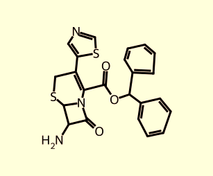 NC1C(=O)N2C(C(=O)OC(c3ccccc3)c3ccccc3)=C(c3cncs3)CSC12